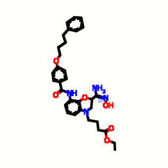 CCOC(=O)CCCN1CC(/C(N)=N\O)Oc2c(NC(=O)c3ccc(OCCCCc4ccccc4)cc3)cccc21